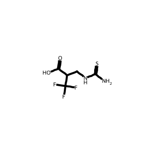 NC(=S)NCC(C(=O)O)C(F)(F)F